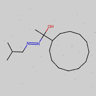 CC(C)C/N=N/C(C)(O)C1CCCCCCCCCCC1